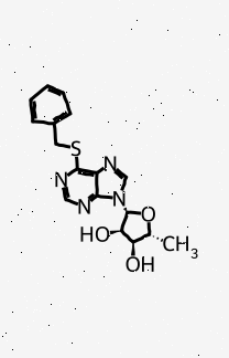 C[C@H]1O[C@@H](n2cnc3c(SCc4ccccc4)ncnc32)[C@H](O)[C@@H]1O